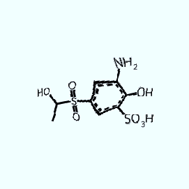 CC(O)S(=O)(=O)c1cc(N)c(O)c(S(=O)(=O)O)c1